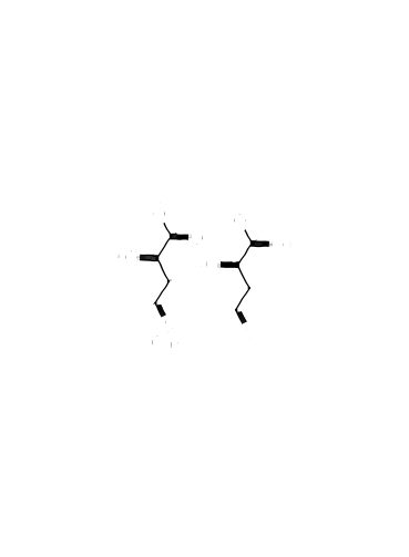 O=C([O-])C(=O)CC=S.O=C([O-])C(=O)CC=S.[Ca+2]